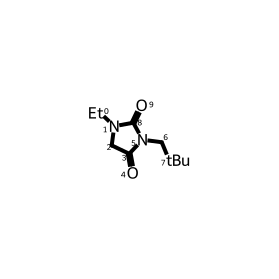 CCN1CC(=O)N(CC(C)(C)C)C1=O